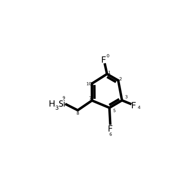 Fc1cc(F)c(F)c(C[SiH3])c1